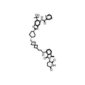 C=C1c2cccc(NCCC3CC4(C3)CN(C[C@H]3CC[C@H](c5nc6cc(C(C)(C)O)c(NC(=O)c7ccccn7)cc6s5)CC3)C4)c2C(=O)N1C1CCC(=O)NC1=O